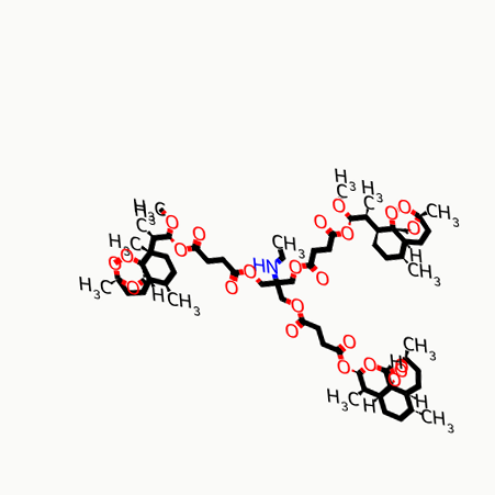 CCNC(COC(=O)CCC(=O)O[C@H](OC)[C@H](C)[C@@H]1CC[C@@H](C)[C@@H]2CC[C@]3(C)OC[C@]12OO3)(COC(=O)CCC(=O)O[C@@H]1O[C@@H]2O[C@@]3(C)CC[C@H]4[C@H](C)CC[C@@H]([C@H]1C)[C@@]24OO3)COC(=O)CCC(=O)O[C@H](OC)[C@H](C)[C@]1(C)CC[C@@H](C)[C@@H]2CC[C@]3(C)OC[C@@]21OO3